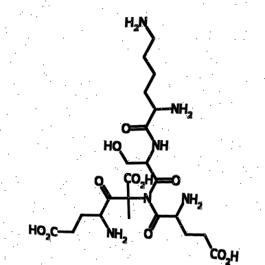 CC(C(=O)O)(C(=O)C(N)CCC(=O)O)N(C(=O)C(N)CCC(=O)O)C(=O)C(CO)NC(=O)C(N)CCCCN